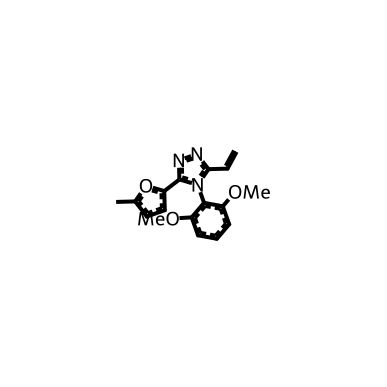 C=Cc1nnc(-c2ccc(C)o2)n1-c1c(OC)cccc1OC